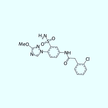 COc1ncn(-c2ccc(NC(=O)Cc3ccccc3Cl)cc2S(N)(=O)=O)n1